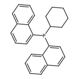 c1ccc2c(P(c3cccc4ccccc34)C3CCCCC3)cccc2c1